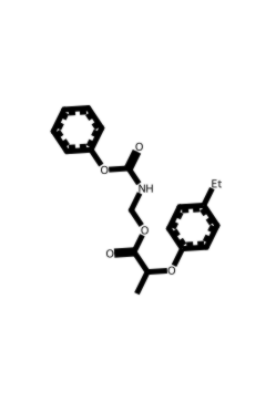 CCc1ccc(OC(C)C(=O)OCNC(=O)Oc2ccccc2)cc1